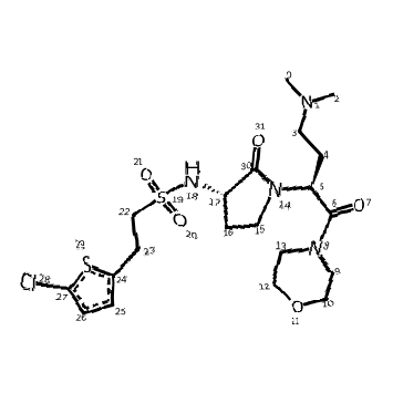 CN(C)CC[C@@H](C(=O)N1CCOCC1)N1CC[C@H](NS(=O)(=O)CCc2ccc(Cl)s2)C1=O